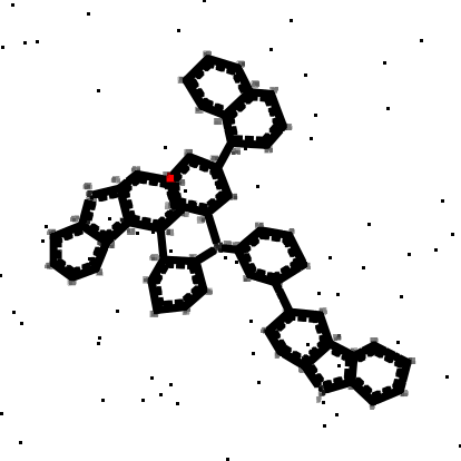 c1cc(-c2ccc3sc4ccccc4c3c2)cc(N(c2cccc(-c3cccc4ccccc34)c2)c2ccccc2-c2cccc3sc4ccccc4c23)c1